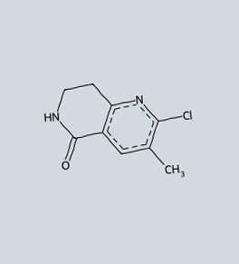 Cc1cc2c(nc1Cl)CCNC2=O